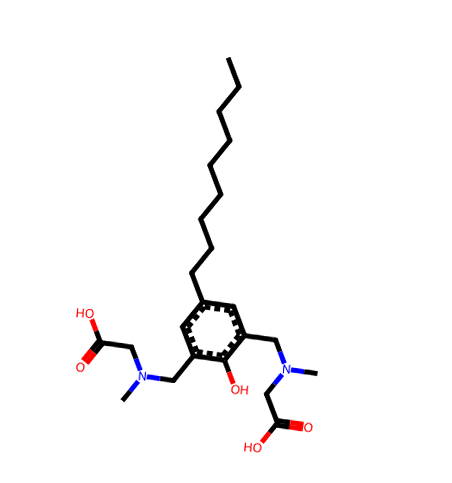 CCCCCCCCCc1cc(CN(C)CC(=O)O)c(O)c(CN(C)CC(=O)O)c1